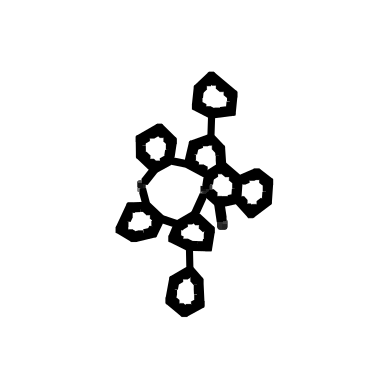 O=c1c2ccccc2c2cc(-c3ccccc3)cc3c2n1-c1ccc(-c2ccccc2)cc1-c1ccccc1Sc1ccccc1-3